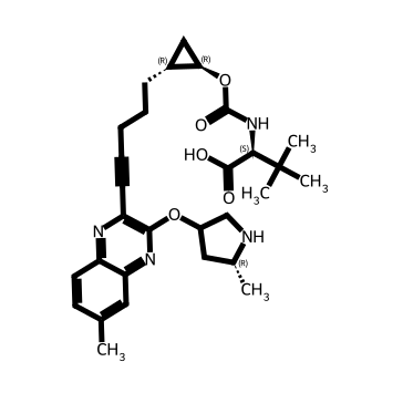 Cc1ccc2nc(C#CCCC[C@@H]3C[C@H]3OC(=O)N[C@H](C(=O)O)C(C)(C)C)c(OC3CN[C@H](C)C3)nc2c1